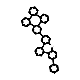 c1ccc(-c2ccc3c(c2)-c2ccccc2-c2cc(-c4ccc5c(c4)-c4ccccc4-c4ccccc4-c4ccccc4-5)ccc2O3)cc1